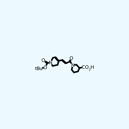 CC(C)(C)OC(=O)N1CC=C(C=CC(=O)N2CCCC(C(=O)O)C2)CC1